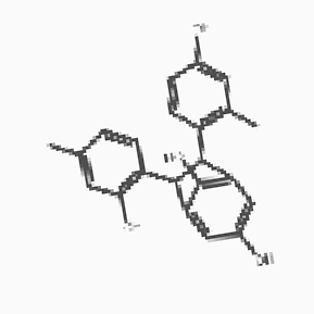 Cc1ccc(C2c3cc(O)cc(c3O)C2c2ccc(O)cc2C)c(O)c1